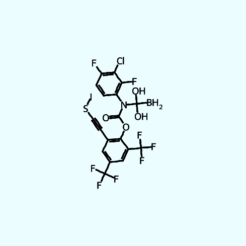 BC(O)(O)N(C(=O)Oc1c(C#CSI)cc(C(F)(F)F)cc1C(F)(F)F)c1ccc(F)c(Cl)c1F